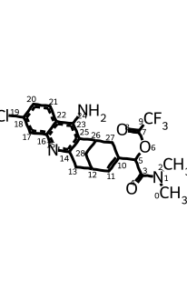 CN(C)C(=O)C(OC(=O)C(F)(F)F)C1=CC2Cc3nc4cc(Cl)ccc4c(N)c3C(C1)C2